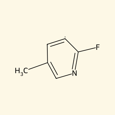 Cc1c[c]c(F)nc1